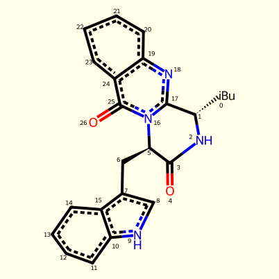 CCC(C)[C@@H]1NC(=O)[C@@H](Cc2c[nH]c3ccccc23)n2c1nc1ccccc1c2=O